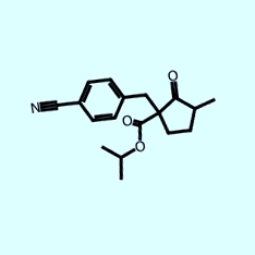 CC(C)OC(=O)C1(Cc2ccc(C#N)cc2)CCC(C)C1=O